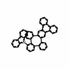 c1ccc2c(c1)-c1cc3c4ccccc4c4ccccc4c3cc1-c1ccccc1-c1c-2cccc1-n1c2ccccc2c2ccccc21